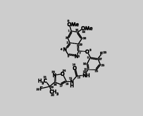 COc1cc2ncnc(Oc3cc(NC(=O)Nc4cc(C(C)(C)F)no4)ccc3F)c2cc1OC